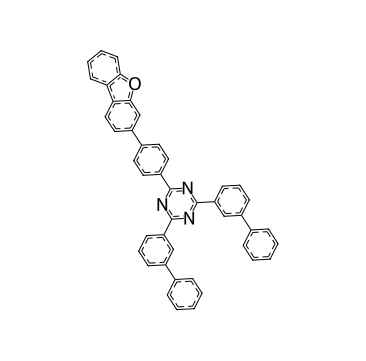 c1ccc(-c2cccc(-c3nc(-c4ccc(-c5ccc6c(c5)oc5ccccc56)cc4)nc(-c4cccc(-c5ccccc5)c4)n3)c2)cc1